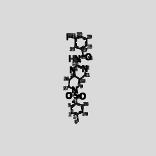 Cc1ccc(S(=O)(=O)N2C=C3CN=C(NC(=O)c4cccc(F)c4)N=C3CC2)cc1